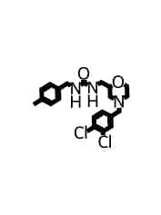 Cc1ccc(CNC(=O)NCC2CN(Cc3ccc(Cl)c(Cl)c3)CCO2)cc1